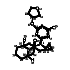 CN(c1nc(Cl)cc(O[C@H]2CCOC2)n1)[C@@H]1C[C@H]2CCC[C@@H](C1)N2C(=O)CC1CC1